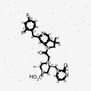 C[C@@H]1CN(CC(=O)N2CC(C)(C)c3cnc(Cc4ccc(F)cc4F)cc32)[C@@H](Cn2cccnc2=O)CN1C(=O)O